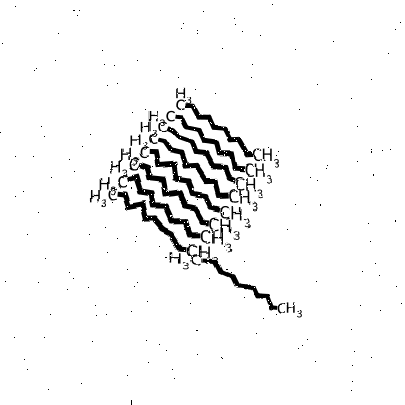 CCCCCCCCCC.CCCCCCCCCC.CCCCCCCCCC.CCCCCCCCCC.CCCCCCCCCC.CCCCCCCCCC.CCCCCCCCCC.CCCCCCCCCC.CCCCCCCCCC